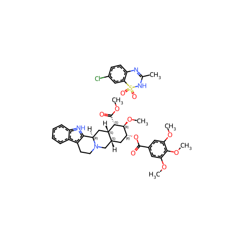 CC1=Nc2ccc(Cl)cc2S(=O)(=O)N1.COC(=O)[C@H]1[C@H]2C[C@@H]3c4[nH]c5ccccc5c4CCN3C[C@H]2C[C@@H](OC(=O)c2cc(OC)c(OC)c(OC)c2)[C@@H]1OC